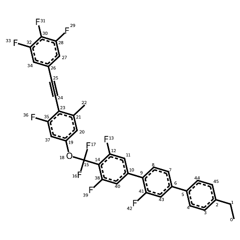 CCc1ccc(-c2ccc(-c3cc(F)c(C(F)(F)Oc4cc(C)c(C#Cc5cc(F)c(F)c(F)c5)c(F)c4)c(F)c3)c(F)c2)cc1